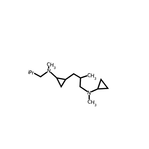 CC(C)CN(C)C1CC1CC(C)CN(C)C1CC1